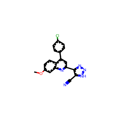 COc1ccc2c(-c3ccc(Cl)cc3)cc(-c3nn[nH]c3C#N)nc2c1